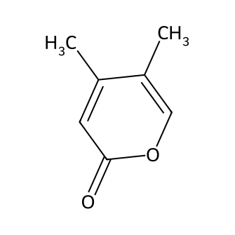 Cc1coc(=O)cc1C